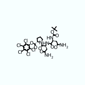 CC(C)(C)OC(=O)N[C@@H](CC(N)=O)C(=O)N[C@@H](CC(N)=O)C(=O)N1CCC[C@H]1C(=O)Oc1c(Cl)c(Cl)c(Cl)c(Cl)c1Cl